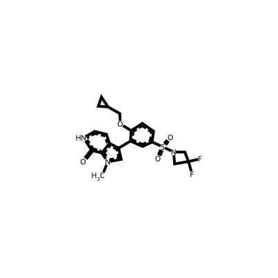 Cn1cc(-c2cc(S(=O)(=O)N3CC(F)(F)C3)ccc2OCC2CC2)c2cc[nH]c(=O)c21